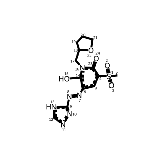 CS(=O)(=O)c1cc(N=Nc2nnc[nH]2)c(O)n(CC2CCCO2)c1=O